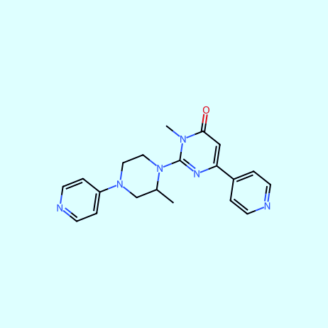 CC1CN(c2ccncc2)CCN1c1nc(-c2ccncc2)cc(=O)n1C